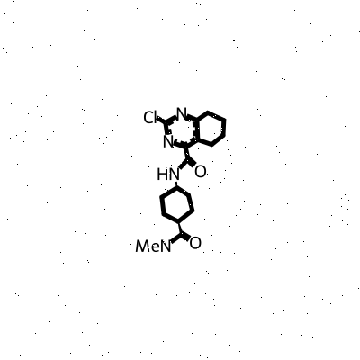 CNC(=O)[C@H]1CC[C@H](NC(=O)c2nc(Cl)nc3c2CCCC3)CC1